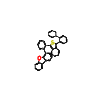 c1cc2c(oc3ccccc32)c(-c2ccccc2-c2sc(-c3ccccc3-c3ccccc3)c3c2CCC=C3)c#1